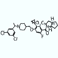 CC(c1cc(Cl)cc(Cl)c1)N1CCC(COc2cc(F)c(C(=O)N3[C@@H](C(=O)O)C[C@H]4CCC[C@H]43)cc2C2CC2)CC1